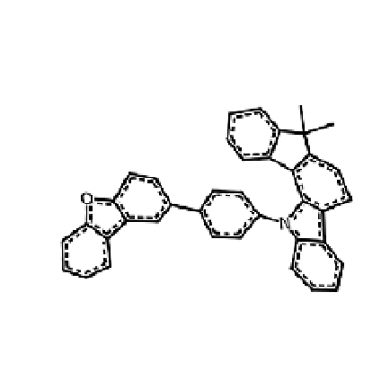 CC1(C)c2ccccc2-c2c1ccc1c3ccccc3n(-c3ccc(-c4ccc5oc6ccccc6c5c4)cc3)c21